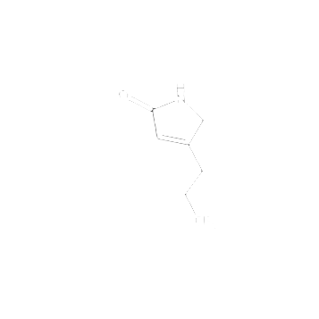 O=C1C=C(CCC(F)(F)F)CN1